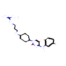 N=C(N)NCCCNC1CCC(n2cc3c(nc2=O)Nc2cc(C=O)ccc2O3)CC1